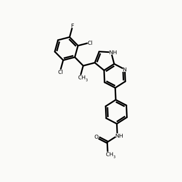 CC(=O)Nc1ccc(-c2cnc3[nH]cc(C(C)c4c(Cl)ccc(F)c4Cl)c3c2)cc1